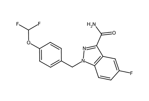 NC(=O)c1nn(Cc2ccc(OC(F)F)cc2)c2ccc(F)cc12